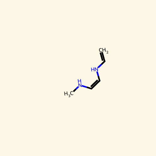 C=CN/C=C\NC